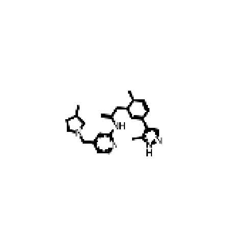 C=C(CC1C=C(c2cn[nH]c2C)C=CC1C)Nc1cc(CN2CCC(C)C2)ccn1